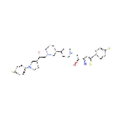 O=C(CN1CCC(C2CCCN(CC(=O)C3CCN(c4ccc(F)cc4)C3)C2)CC1)c1cc(-c2ccc(F)cc2)sn1